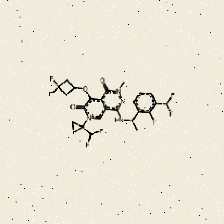 C[C@@H](Nc1nn(C)c(=O)c2c(OC3CC(F)(F)C3)c(=O)n(C3(C(F)F)CC3)cc12)c1cccc(C(F)F)c1F